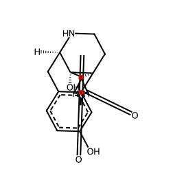 O=C1C[C@]23CCN[C@H](Cc4ccc(O)cc42)[C@]3(O)CCNC(=O)N1